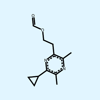 Cc1nc(C)c(C2CC2)nc1CCOC=O